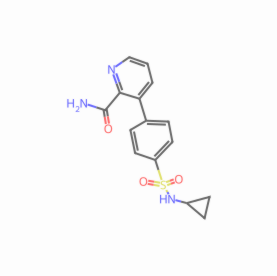 NC(=O)c1ncccc1-c1ccc(S(=O)(=O)NC2CC2)cc1